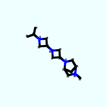 CC(C)N1CC(N2CC(N3CC4CC3CN4C)C2)C1